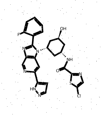 O=C(N[C@H]1C[C@H](O)C[C@@H](n2c(-c3ccccc3F)nc3cnc(-c4ccn[nH]4)cc32)C1)c1ncc(Cl)s1